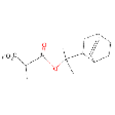 CC(C(=O)O)C(=O)OC(C)(C)C1CC2C=CC1CC2